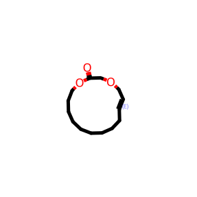 O=C1COC/C=C/CCCCCCCCCO1